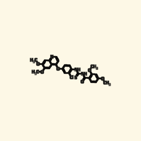 COc1ccc(C(=O)NC(=S)Nc2ccc(Oc3ccnc4cc(OC)c(OC)cc34)cc2Cl)c(OC)c1